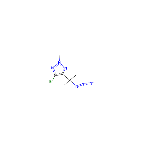 Cn1nc(Br)c(C(C)(C)N=[N+]=[N-])n1